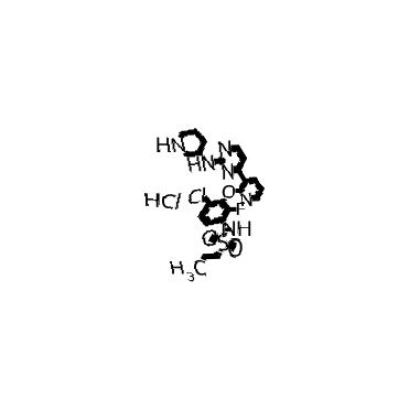 CCCS(=O)(=O)Nc1ccc(Cl)c(Oc2ncccc2-c2ccnc(N[C@H]3CCCNC3)n2)c1F.Cl